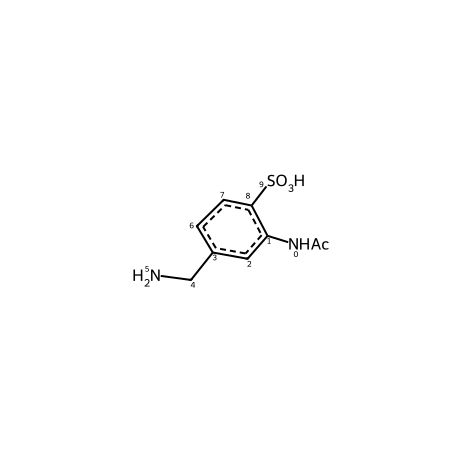 CC(=O)Nc1cc(CN)ccc1S(=O)(=O)O